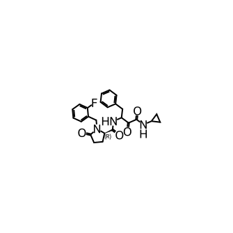 O=C(NC1CC1)C(=O)C(Cc1ccccc1)NC(=O)[C@H]1CCC(=O)N1Cc1ccccc1F